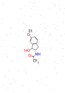 CCOc1ccc2c(c1)[C@H](O)[C@@H](NC(=O)C(F)(F)F)C2